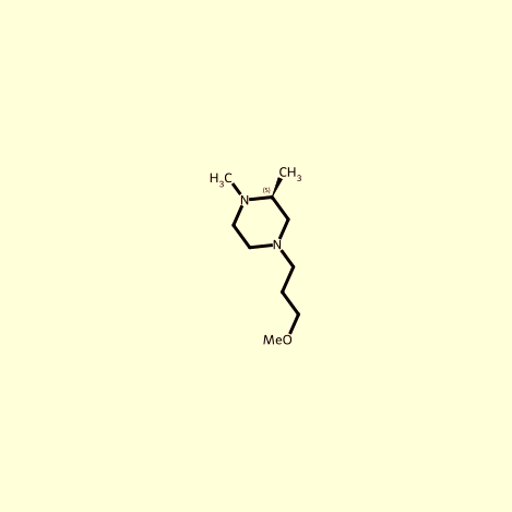 COCCCN1CCN(C)[C@@H](C)C1